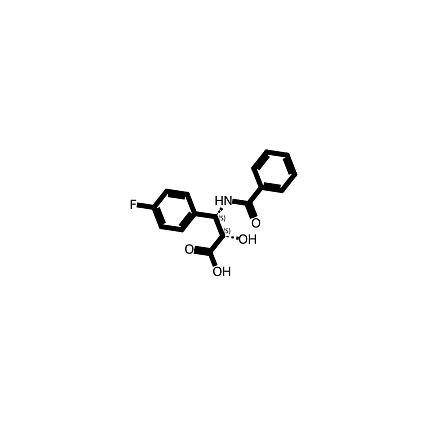 O=C(N[C@@H](c1ccc(F)cc1)[C@H](O)C(=O)O)c1ccccc1